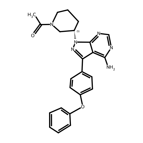 CC(=O)N1CCC[C@H](n2nc(-c3ccc(Oc4ccccc4)cc3)c3c(N)ncnc32)C1